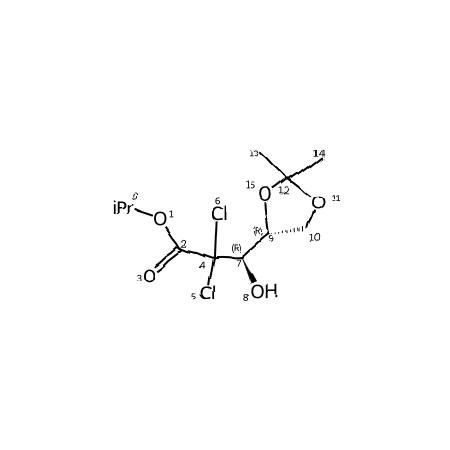 CC(C)OC(=O)C(Cl)(Cl)[C@H](O)[C@H]1COC(C)(C)O1